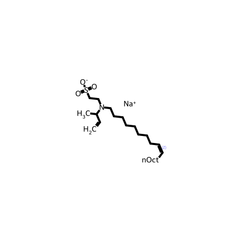 C=CC(C)N(CCCCCCCC/C=C\CCCCCCCC)CCS(=O)(=O)[O-].[Na+]